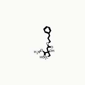 NOC(=O)C(O)(CC(=O)O)CC(=O)OCCCc1ccccc1